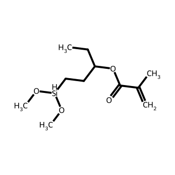 C=C(C)C(=O)OC(CC)CC[SiH](OC)OC